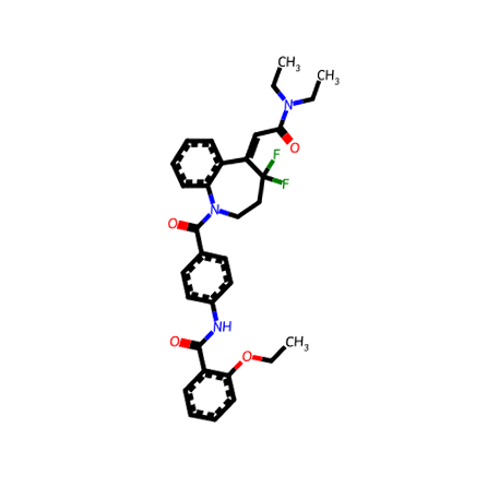 CCOc1ccccc1C(=O)Nc1ccc(C(=O)N2CCC(F)(F)/C(=C\C(=O)N(CC)CC)c3ccccc32)cc1